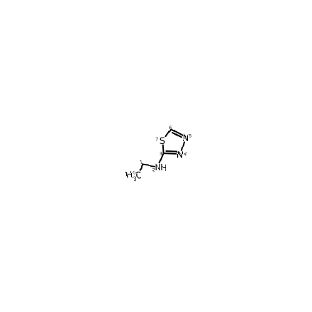 CCNc1nncs1